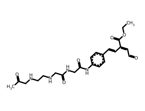 CCOC(=O)C(/C=C/c1ccc(NC(=O)CNC(=O)CNCCNCC(C)=O)cc1)=C/C=O